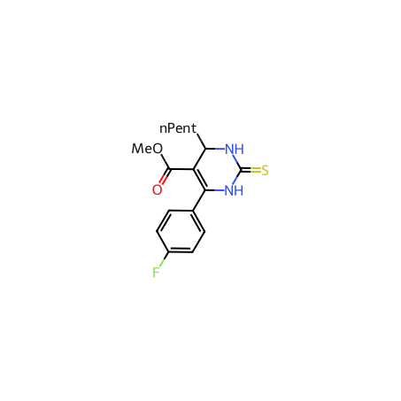 CCCCCC1NC(=S)NC(c2ccc(F)cc2)=C1C(=O)OC